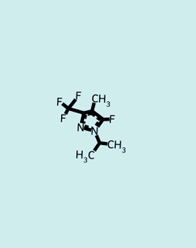 Cc1c(C(F)(F)F)nn(C(C)C)c1F